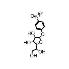 O=[N+]([O-])c1ccc(O[C@H]2O[C@H]([C@@H](O)CO)[C@H](O)[C@H]2O)cc1